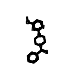 COc1ccnc(N2CCN(C(=S)c3ccccc3)CC2)n1